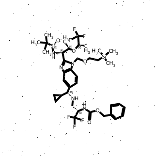 C[C@@H](O[C@H](C)C(F)(F)F)[C@H](N[S@+]([O-])C(C)(C)C)c1nc2cc([C@H](NC[C@H](NC(=O)OCc3ccccc3)C(F)(F)F)C3CC3)ccc2n1COCC[Si](C)(C)C